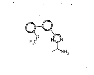 CC(N)c1ncn(-c2cccc(-c3ccccc3OC(F)(F)F)c2)n1